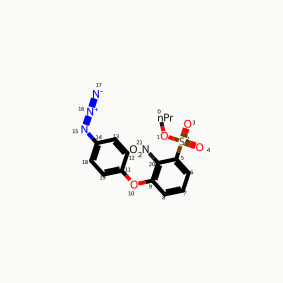 CCCOS(=O)(=O)c1cccc(Oc2ccc(N=[N+]=[N-])cc2)c1[N+](=O)[O-]